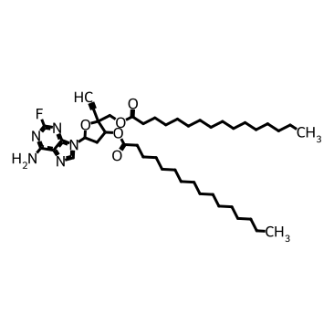 C#CC1(COC(=O)CCCCCCCCCCCCCCC)OC(n2cnc3c(N)nc(F)nc32)CC1OC(=O)CCCCCCCCCCCCCCC